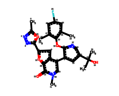 Cc1nnc(-c2cc3c(-c4cc(C(C)(C)O)cnc4Oc4c(C)cc(F)cc4C)cn(C)c(=O)c3o2)o1